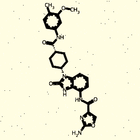 COc1cc(NC(=O)[C@H]2CC[C@@H](n3c(=O)[nH]c4c(NC(=O)c5coc(N)n5)cccc43)CC2)ccc1C